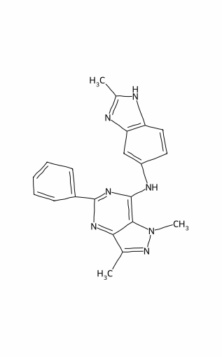 Cc1nc2cc(Nc3nc(-c4ccccc4)nc4c(C)nn(C)c34)ccc2[nH]1